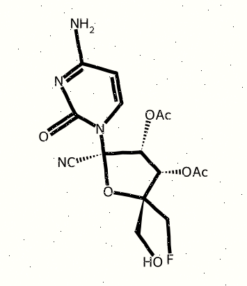 CC(=O)O[C@@H]1[C@H](OC(C)=O)[C@](CO)(CF)O[C@@]1(C#N)n1ccc(N)nc1=O